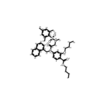 CCCCOC(=O)c1ccc(N(Cc2cccc3ccccc23)C(=O)CN(C)S(=O)(=O)c2c(C)cc(C)cc2C)cc1OCCCC